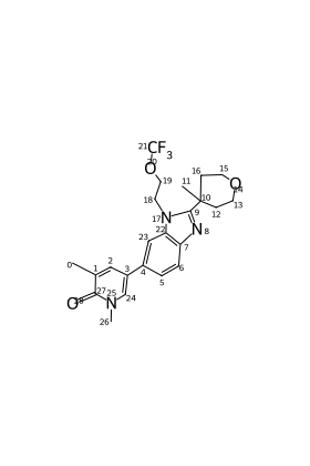 Cc1cc(-c2ccc3nc(C4(C)CCOCC4)n(CCOC(F)(F)F)c3c2)cn(C)c1=O